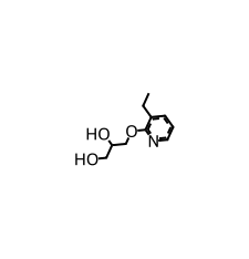 CCc1cccnc1OCC(O)CO